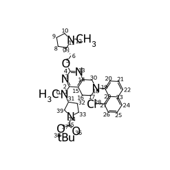 CN(c1nc(OC[C@@H]2CCCN2C)nc2c1CCN(c1cccc3cccc(Cl)c13)C2)C1CCN(C(=O)OC(C)(C)C)C1